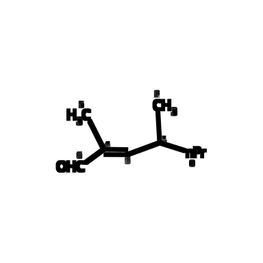 CCCC(C)C=C(C)C=O